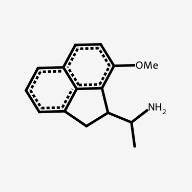 COc1ccc2cccc3c2c1C(C(C)N)C3